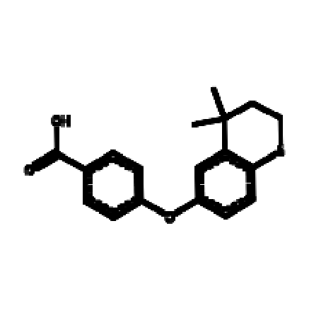 CC1(C)CCSc2ccc(Oc3ccc(C(=O)O)cc3)cc21